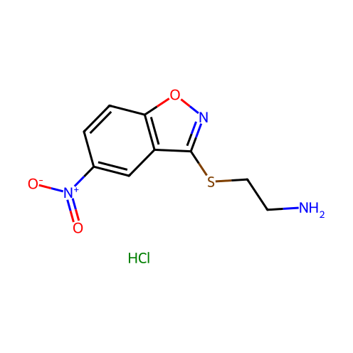 Cl.NCCSc1noc2ccc([N+](=O)[O-])cc12